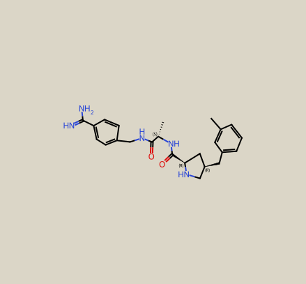 Cc1cccc(C[C@H]2CN[C@@H](C(=O)N[C@@H](C)C(=O)NCc3ccc(C(=N)N)cc3)C2)c1